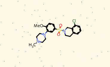 COc1ccc(S(=O)(=O)N2CCc3cccc(Cl)c3C2)cc1N1CCN(C)CC1